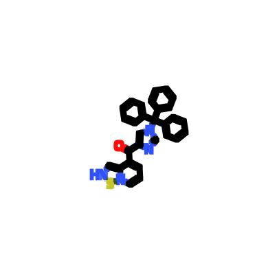 O=C(C1=CC=CN2SNC=C12)c1cn(C(c2ccccc2)(c2ccccc2)c2ccccc2)cn1